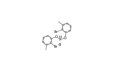 Cc1cccc(O[PH](=O)Oc2cccc(C)c2Br)c1Br